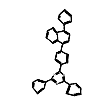 c1ccc(-c2nc(-c3ccccc3)nc(-c3ccc(-c4ccc(-c5ccccc5)c5ccccc45)cc3)n2)cc1